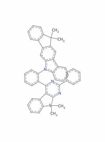 CC1(C)c2ccccc2-c2cc3c(cc21)c1ccccc1n3-c1ccccc1-c1nc(-c2ccccc2)nc2c1-c1ccccc1[Si]2(C)C